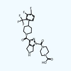 O=C(O)N1CCN(C(=O)n2nc(C(=O)N3CCC(c4ccc(F)c(F)c4C(F)(F)F)CC3)c3c2CNC3)CC1